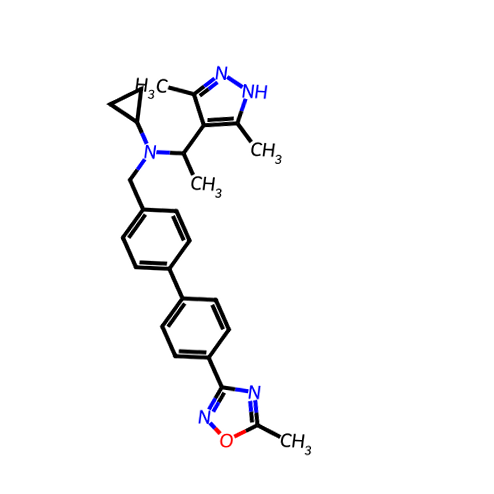 Cc1nc(-c2ccc(-c3ccc(CN(C4CC4)C(C)c4c(C)n[nH]c4C)cc3)cc2)no1